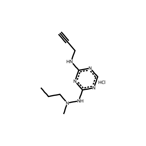 C#CCNc1ncnc(NN(C)CCC)n1.Cl